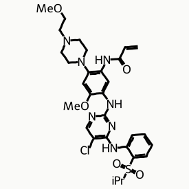 C=CC(=O)Nc1cc(Nc2ncc(Cl)c(Nc3ccccc3S(=O)(=O)C(C)C)n2)c(OC)cc1N1CCN(CCOC)CC1